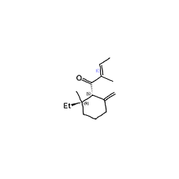 C=C1CCC[C@@](C)(CC)[C@@H]1C(=O)/C(C)=C/C